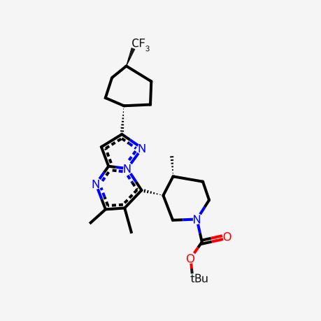 Cc1nc2cc([C@H]3CC[C@H](C(F)(F)F)CC3)nn2c([C@H]2CN(C(=O)OC(C)(C)C)CC[C@H]2C)c1C